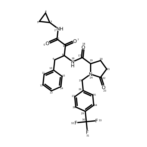 O=C(NC1CC1)C(=O)C(Cc1ccccc1)NC(=O)C1CCC(=O)N1Cc1ccc(C(F)(F)F)cc1